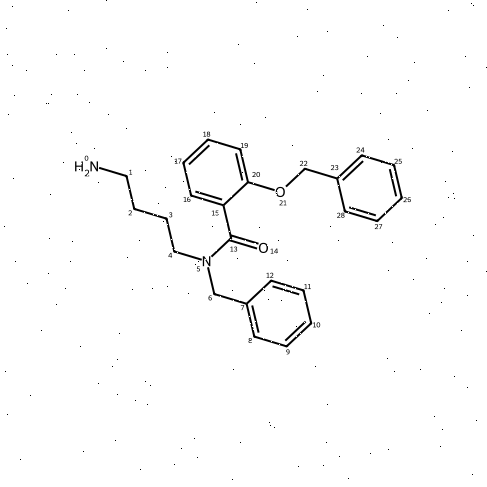 NCCCCN(Cc1ccccc1)C(=O)c1ccccc1OCc1ccccc1